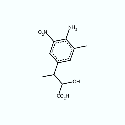 Cc1cc(C(C)C(O)C(=O)O)cc([N+](=O)[O-])c1N